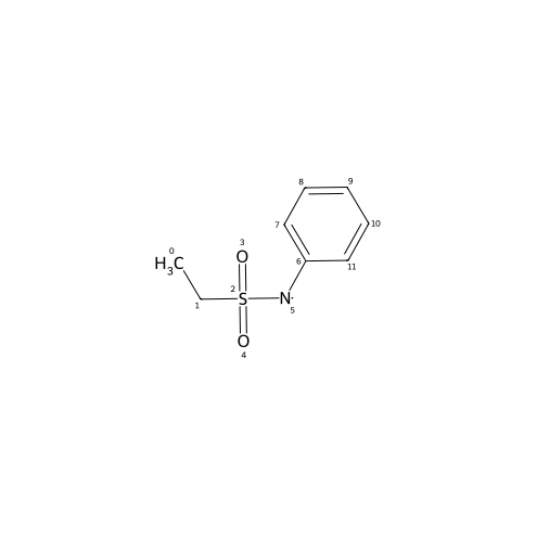 CCS(=O)(=O)[N]c1ccccc1